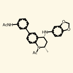 CC(=O)Nc1cccc(-c2ccc3c(c2)[C@H](Nc2ccc4c(c2)OCO4)C[C@H](C)N3C(C)=O)c1